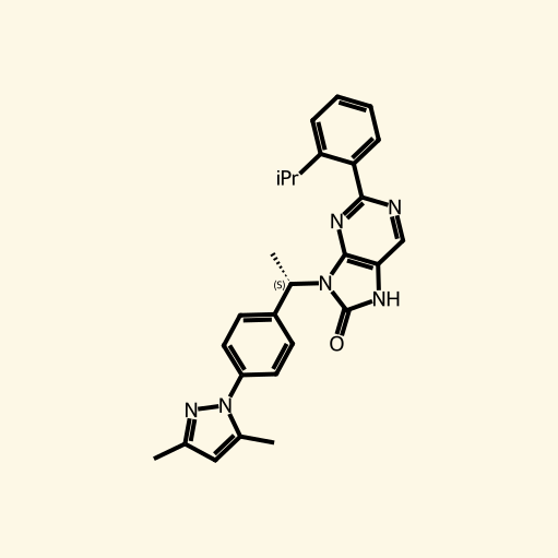 Cc1cc(C)n(-c2ccc([C@H](C)n3c(=O)[nH]c4cnc(-c5ccccc5C(C)C)nc43)cc2)n1